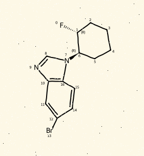 F[C@@H]1CCCC[C@H]1n1cnc2cc(Br)ccc21